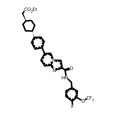 CCOC(=O)C[C@H]1CC[C@H](c2ccc(-c3ccc4nc(C(=O)NCc5ccc(F)c(OC(F)(F)F)c5)cn4c3)cc2)CC1